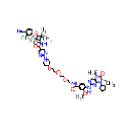 CC[C@@H]1C(=O)N(C)c2cnc(Nc3ccc(C(=O)NCCOCCOCCOC4CCN(c5ncc(C(=O)NC6C(C)(C)C(Oc7ccc(C#N)c(Cl)c7)C6(C)C)cn5)CC4)cc3OC)nc2N1C1CCCC1